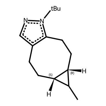 CC1[C@H]2CCc3c(cnn3C(C)(C)C)CC[C@@H]12